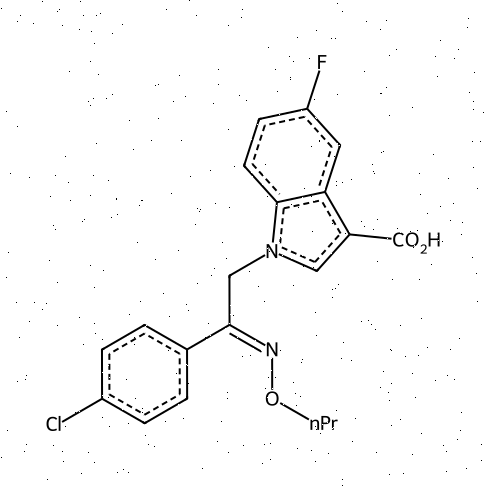 CCCON=C(Cn1cc(C(=O)O)c2cc(F)ccc21)c1ccc(Cl)cc1